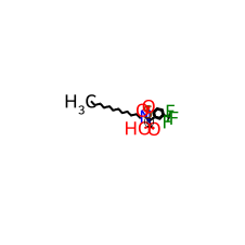 CCCCCCCCCCCCN1[C@@H](C(=O)O)c2cc(C(F)(F)F)ccc2S1(=O)=O